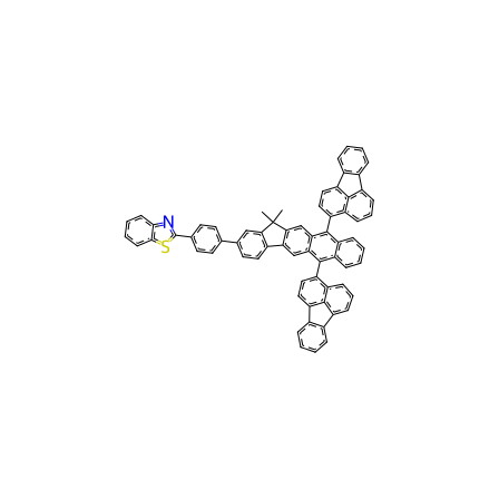 CC1(C)c2cc(-c3ccc(-c4nc5ccccc5s4)cc3)ccc2-c2cc3c(-c4ccc5c6c(cccc46)-c4ccccc4-5)c4ccccc4c(-c4ccc5c6c(cccc46)-c4ccccc4-5)c3cc21